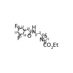 CCOC(=O)[C@H]1CSC(CCNC(=O)Cc2cc(F)cc(F)c2)=N1